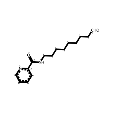 O=CCCCCCCCCNC(=O)c1ccccn1